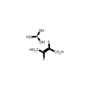 O=C(O)/C(F)=C(\F)C(=O)O.OB(O)O